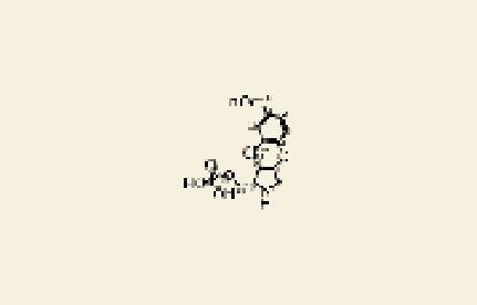 CCCCCCCCc1ccc(OC2CN[C@H](COP(=O)(O)O)C2)c(Cl)c1